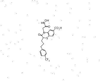 O=C(CN1C(=O)C(CCCc2ccc(C(F)(F)F)cc2)Sc2ccc(C(=O)O)cc21)NO